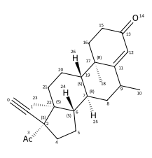 C#C[C@]1(C(C)=O)CC[C@H]2[C@@H]3CC(C)C4=CC(=O)CC[C@]4(C)[C@H]3CC[C@@]21C